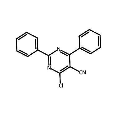 N#Cc1c(Cl)nc(-c2ccccc2)nc1-c1ccccc1